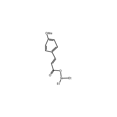 CCN(CC)OC(=O)C=Cc1ccc(OC)cc1